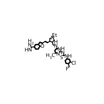 CCN1CC(/C=C/c2cc3cc(C(=N)N)ccc3o2)C(CNc2cc(C)nc(NC(=S)Nc3ccc(CF)c(Cl)c3)n2)C1